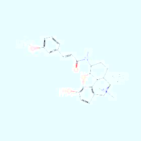 CC(=O)O[C@@]12CCC(N(C)C(=O)/C=C/c3cccc(OC(F)(F)F)c3)C3Oc4c(O)ccc5c4[C@@]31CCN(C)[C@@H]2C5